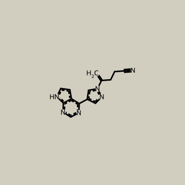 C=C(CCC#N)n1cc(-c2ncnc3[nH]ccc23)cn1